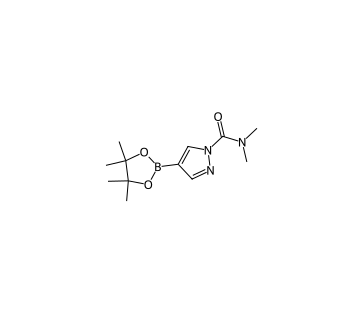 CN(C)C(=O)n1cc(B2OC(C)(C)C(C)(C)O2)cn1